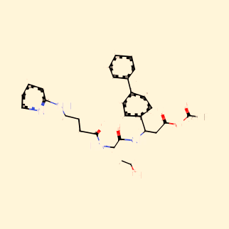 O=C(CCCNc1ccccn1)N[C@@H](CCO)C(=O)NC(CC(=O)OC(=O)C(F)(F)F)c1ccc(-c2ccccc2)cc1